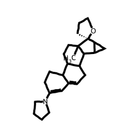 CC12CCC3C4CCC(N5CCCC5)=CC4=CCC3C1C1CC1[C@@]21CCCO1